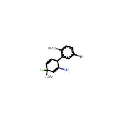 COc1ccc(C(C)C)cc1C1C=CC(F)(OC)C=C1N